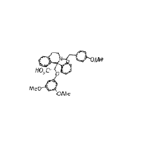 COc1ccc(CC(=O)N2CCc3ccccc3[C@@]2(c2ccccc2)[C@H](Oc2cc(OC)cc(OC)c2)C(=O)O)cc1